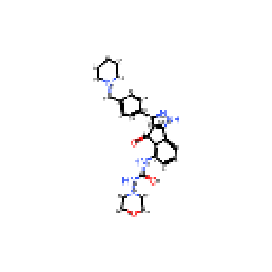 O=C(Nc1cccc2c1C(=O)c1c(-c3ccc(CN4CCCCC4)cc3)n[nH]c1-2)NN1CCOCC1